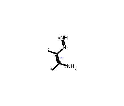 C/C(N)=C(\C)N=N